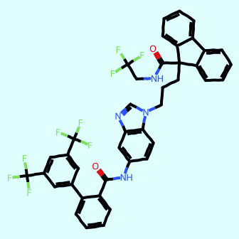 O=C(Nc1ccc2c(c1)ncn2CCCC1(C(=O)NCC(F)(F)F)c2ccccc2-c2ccccc21)c1ccccc1-c1cc(C(F)(F)F)cc(C(F)(F)F)c1